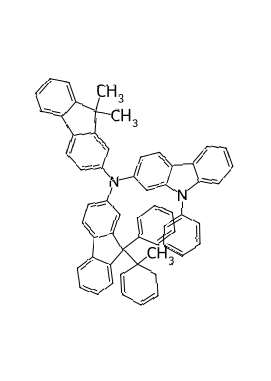 CC1(C)c2ccccc2-c2ccc(N(c3ccc4c(c3)C(c3ccccc3)(C3(C)C=CC=CC3)c3ccccc3-4)c3ccc4c5ccccc5n(-c5ccccc5)c4c3)cc21